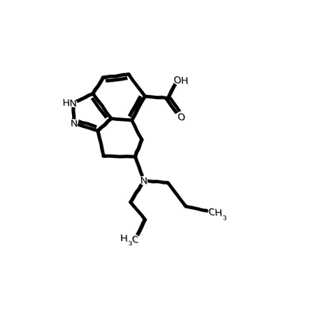 CCCN(CCC)C1Cc2n[nH]c3ccc(C(=O)O)c(c23)C1